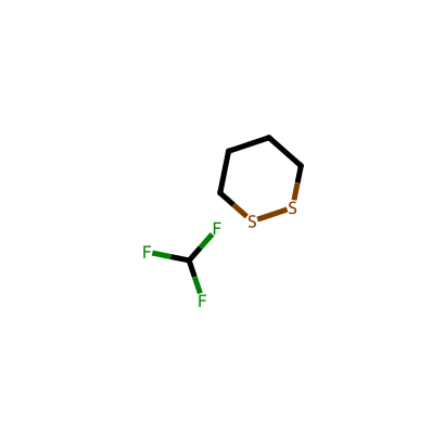 C1CCSSC1.FC(F)F